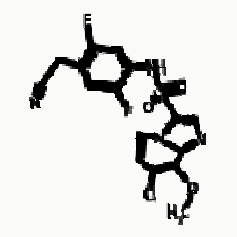 COc1c(Cl)ccn2c(S(=O)(=O)Nc3cc(F)c(CC#N)cc3F)cnc12